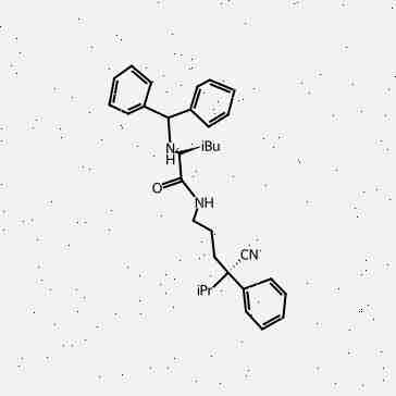 CC[C@H](C)[C@H](NC(c1ccccc1)c1ccccc1)C(=O)NCCC[C@@](C#N)(c1ccccc1)C(C)C